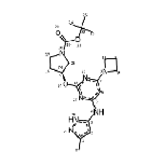 Cc1cc(Nc2cc(N3CCC3)nc(O[C@H]3CCN(C(=O)OC(C)(C)C)C3)n2)[nH]n1